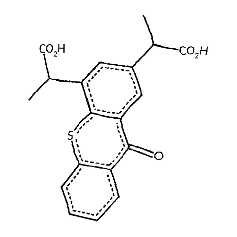 CC(C(=O)O)c1cc(C(C)C(=O)O)c2sc3ccccc3c(=O)c2c1